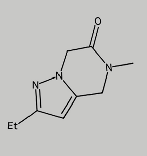 CCc1cc2n(n1)CC(=O)N(C)C2